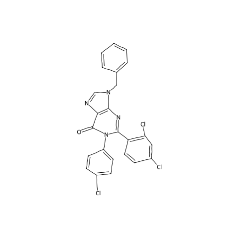 O=c1c2ncn(Cc3ccccc3)c2nc(-c2ccc(Cl)cc2Cl)n1-c1ccc(Cl)cc1